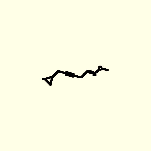 CON=CCC#CCC1[CH]C1